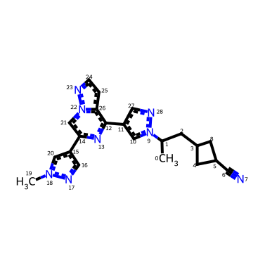 CC(CC1CC(C#N)C1)n1cc(-c2nc(-c3cnn(C)c3)cn3nccc23)cn1